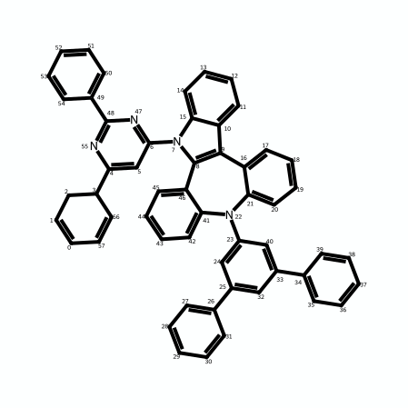 C1=CCC(c2cc(-n3c4c(c5ccccc53)-c3ccccc3N(c3cc(-c5ccccc5)cc(-c5ccccc5)c3)c3ccccc3-4)nc(-c3ccccc3)n2)C=C1